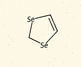 C1=C[Se]C[Se]1